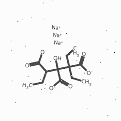 CCC(C(=O)[O-])C(O)(C(=O)[O-])C(CC)(CC)C(=O)[O-].[Na+].[Na+].[Na+]